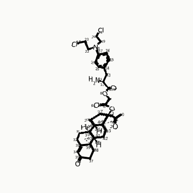 CC(=O)[C@@]1(OC(=O)COC(=O)[C@@H](N)Cc2ccc(N(CCCl)CCCl)cc2)CC[C@H]2[C@@H]3CCC4=CC(=O)CC[C@]4(C)[C@H]3CC[C@@]21C